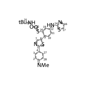 CNc1ccc(-c2ncc(-c3ccc(Nc4nccs4)cc3SOONC(C)(C)C)s2)cc1